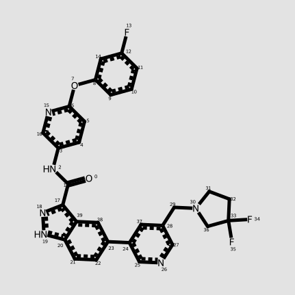 O=C(Nc1ccc(Oc2cccc(F)c2)nc1)c1n[nH]c2ccc(-c3cncc(CN4CCC(F)(F)C4)c3)cc12